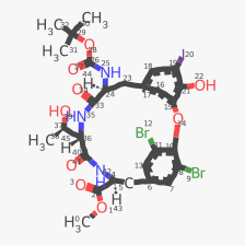 COC(=O)[C@@H]1Cc2cc(Br)c(c(Br)c2)Oc2cc(cc(I)c2O)C[C@H](NC(=O)OC(C)(C)C)C(=O)N[C@@H]([C@@H](C)O)C(=O)N1